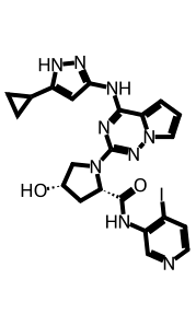 O=C(Nc1cnccc1I)[C@@H]1C[C@H](O)CN1c1nc(Nc2cc(C3CC3)[nH]n2)c2cccn2n1